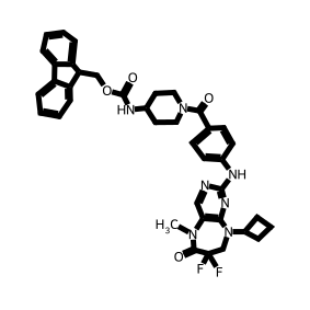 CN1C(=O)C(F)(F)CN(C2CCC2)c2nc(Nc3ccc(C(=O)N4CCC(NC(=O)OCC5c6ccccc6-c6ccccc65)CC4)cc3)ncc21